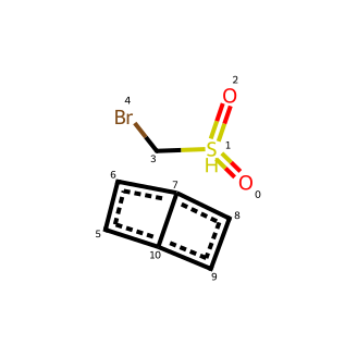 O=[SH](=O)CBr.c1cc2ccc1-2